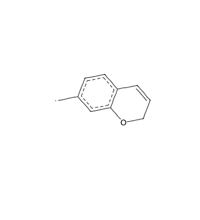 [CH2]c1ccc2c(c1)OCC=C2